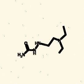 CCN(CC)CCNNC(N)=O